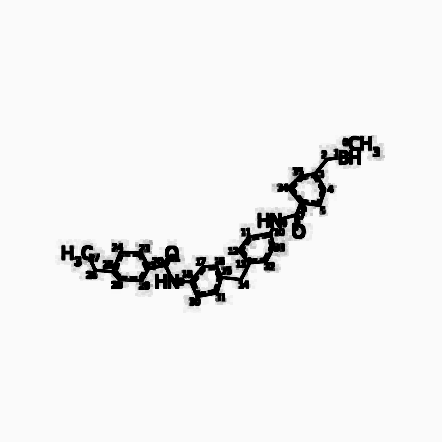 CBCc1ccc(C(=O)Nc2ccc(Cc3ccc(NC(=O)c4ccc(CC)cc4)cc3)cc2)cc1